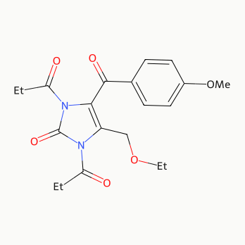 CCOCc1c(C(=O)c2ccc(OC)cc2)n(C(=O)CC)c(=O)n1C(=O)CC